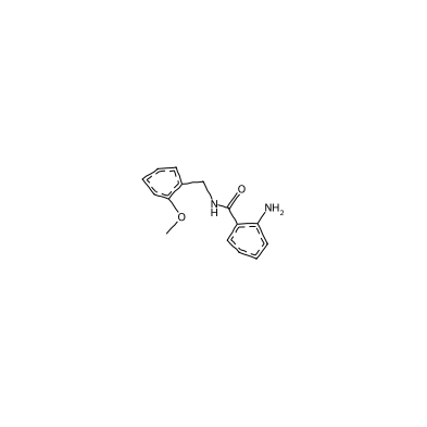 COc1ccccc1CNC(=O)c1ccccc1N